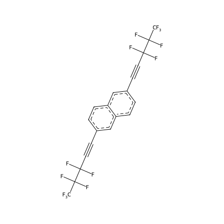 FC(F)(F)C(F)(F)C(F)(F)C#Cc1ccc2cc(C#CC(F)(F)C(F)(F)C(F)(F)F)ccc2c1